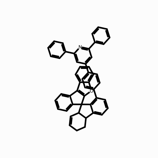 C1=CC2C(CC1)c1cccc(-c3ccc(-c4cc(-c5ccccc5)nc(-c5ccccc5)c4)cc3)c1C21c2ccccc2-c2c1oc1ccccc21